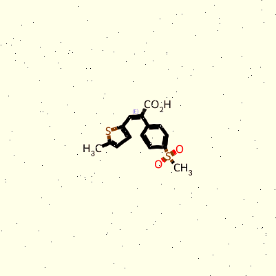 Cc1ccc(/C=C(/C(=O)O)c2ccc(S(C)(=O)=O)cc2)s1